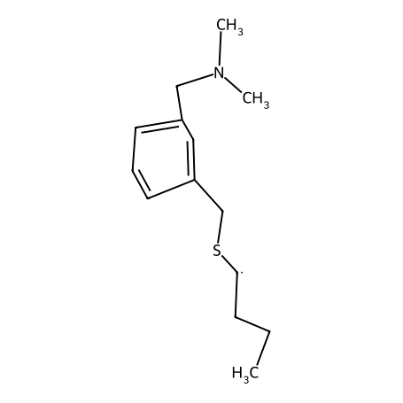 CCC[CH]SCc1cccc(CN(C)C)c1